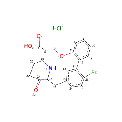 Cl.O=C(O)CCOc1ccccc1-c1cc(CC2NCCCC2=O)ccc1F